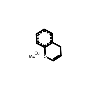 C1=COc2ccccc2C1.[Cu].[Mo]